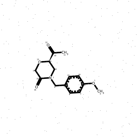 COc1ccc(CN2C[C@H](C(C)=O)OCC2=O)cc1